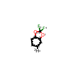 [2H]c1ccc2c(c1)OC(F)(F)O2